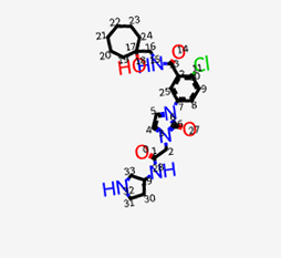 O=C(Cn1ccn(-c2ccc(Cl)c(C(=O)NCC3(O)CCCCCC3)c2)c1=O)NC1CCNC1